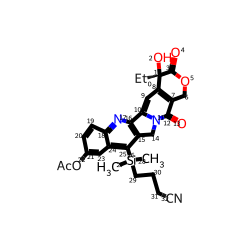 CC[C@@]1(O)C(=O)OCc2c1cc1n(c2=O)Cc2c-1nc1ccc(OC(C)=O)cc1c2[Si](C)(C)CCCC#N